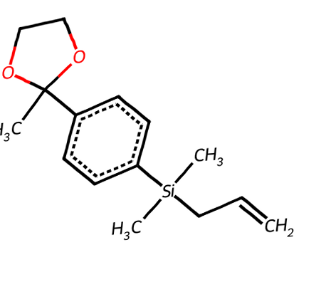 C=CC[Si](C)(C)c1ccc(C2(C)OCCO2)cc1